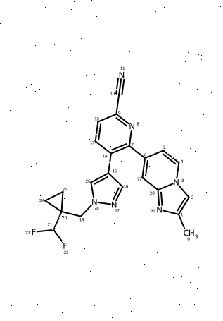 Cc1cn2ccc(-c3nc(C#N)ccc3-c3cnn(CC4(C(F)F)CC4)c3)cc2n1